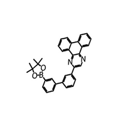 CC1(C)OB(c2cccc(-c3cccc(-c4cnc5c6ccccc6c6ccccc6c5n4)c3)c2)OC1(C)C